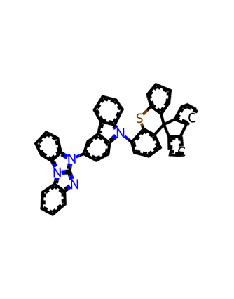 c1ccc2c(c1)Sc1c(-n3c4ccccc4c4cc(-n5c6ccccc6n6c7ccccc7nc56)ccc43)cccc1C21c2ccccc2-c2ccccc21